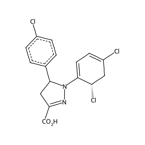 O=C(O)C1=NN(C2=CC=C(Cl)C[C@@H]2Cl)C(c2ccc(Cl)cc2)C1